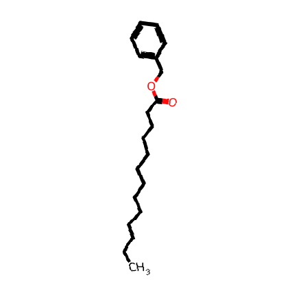 CCCCCCCCCCCCC(=O)OCc1ccccc1